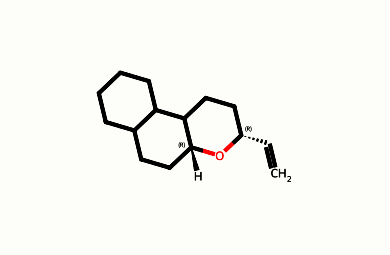 C=C[C@H]1CCC2C3CCCCC3CC[C@H]2O1